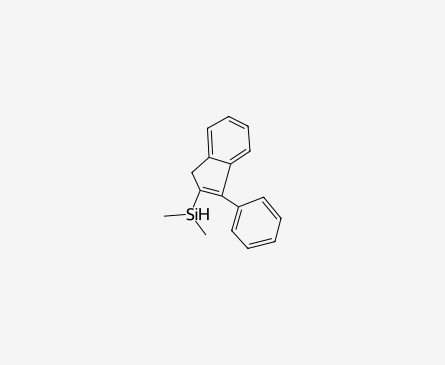 C[SiH](C)C1=C(c2ccccc2)c2ccccc2C1